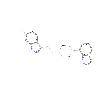 Clc1ccc2c(CCN3CCN(c4cccc5cc[nH]c45)CC3)c[nH]c2c1